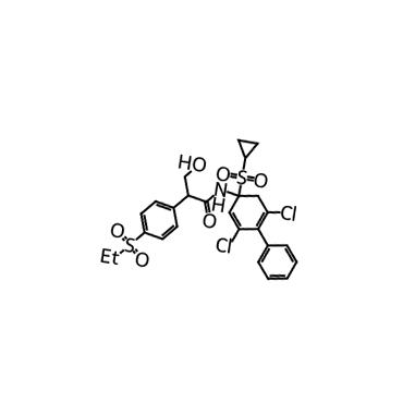 CCS(=O)(=O)c1ccc(C(CO)C(=O)NC2(S(=O)(=O)C3CC3)C=C(Cl)C(c3ccccc3)=C(Cl)C2)cc1